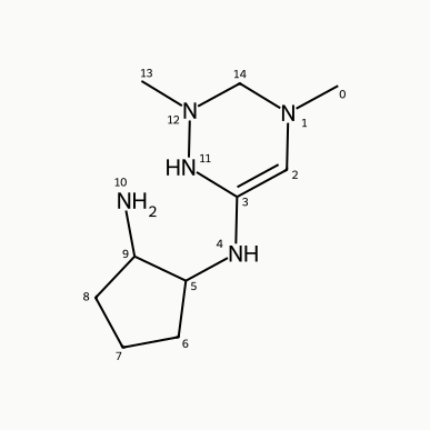 CN1C=C(NC2CCCC2N)NN(C)C1